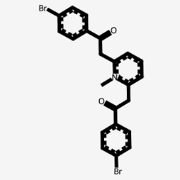 C[n+]1c(CC(=O)c2ccc(Br)cc2)cccc1CC(=O)c1ccc(Br)cc1